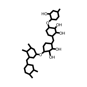 CC1CCC(OC2CCC(CC3CCC(OC4CC(C)C(C)C(CC5CCC(C)C(C)C5)C4)C(O)C3O)C(O)C2O)C(O)C1